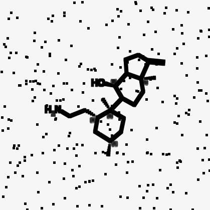 C=C1CCC2[C@H](O)C([C@@]3(C)CC[C@H](C)C[C@@H]3CCN)CC[C@]12C